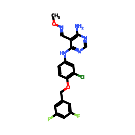 CON=Cc1c(N)ncnc1Nc1ccc(OCc2cc(F)cc(F)c2)c(Cl)c1